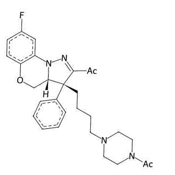 CC(=O)C1=NN2c3cc(F)ccc3OC[C@H]2[C@@]1(CCCCN1CCN(C(C)=O)CC1)c1ccccc1